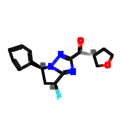 O=C(c1nc2n(n1)[C@H](c1ccccc1)C[C@@H]2F)[C@@H]1CCOC1